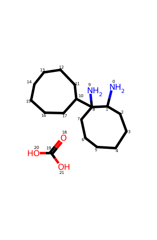 NC1CCCCCCC1(N)C1CCCCCCC1.O=C(O)O